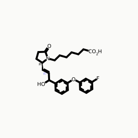 O=C(O)CCCCCCN1C(=O)CC[C@@H]1/C=C/C(O)c1cccc(Oc2cccc(F)c2)c1